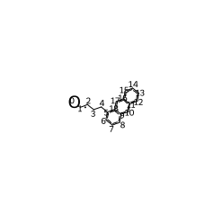 O=[C]CCCc1cccc2cc3ccccc3cc12